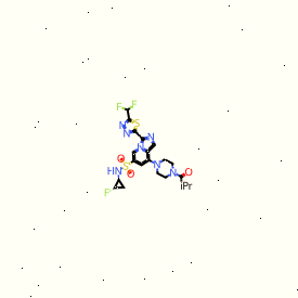 CC(C)C(=O)N1CCN(c2cc(S(=O)(=O)N[C@H]3C[C@@H]3F)cn3c(-c4nnc(C(F)F)s4)ncc23)CC1